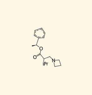 CC(C)C(CN1CCC1)C(=O)O[C@@H](C)c1ccccc1